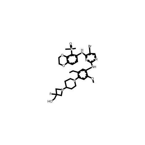 CCc1cc(Nc2ncc(Br)c(Nc3ccc4c(c3P(C)(C)=O)OCCO4)n2)c(OC)cc1N1CCC(N2CC(F)(CO)C2)CC1